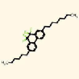 CCCCCCCCc1ccc2c(c1)C(F)(F)C(F)(F)c1cc(CCCCCC)ccc1-2